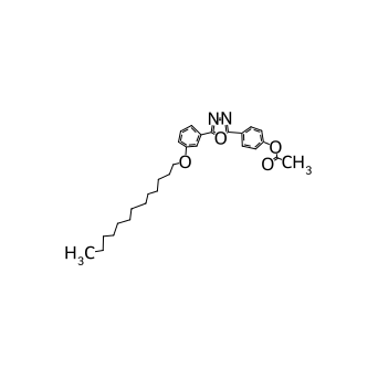 CCCCCCCCCCCCCOc1cccc(-c2nnc(-c3ccc(OC(C)=O)cc3)o2)c1